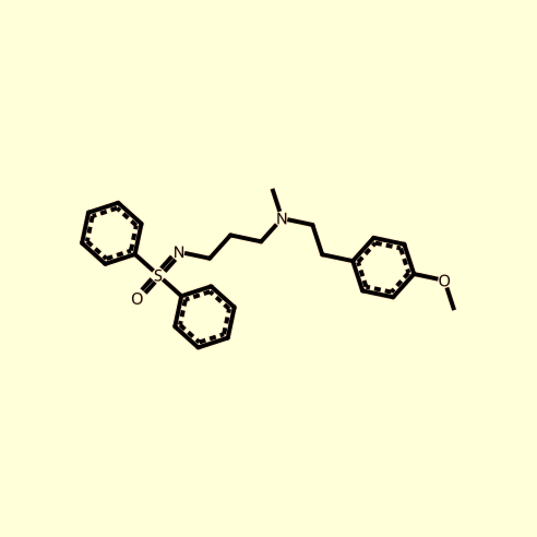 COc1ccc(CCN(C)CCCN=S(=O)(c2ccccc2)c2ccccc2)cc1